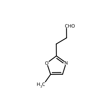 Cc1cnc(CCC=O)o1